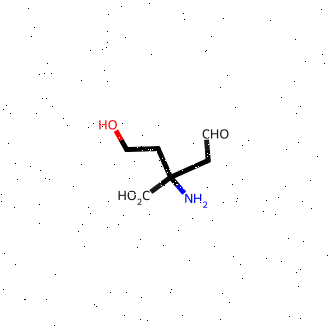 NC(CC=O)(CCO)C(=O)O